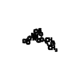 C/C(=C\CCC(C)C1=CC=CCC1)c1cccc(-c2ccc3sc4cccc(-c5nc(-c6ccccc6)nc(-c6ccc7c(c6)oc6ccccc67)n5)c4c3c2)c1